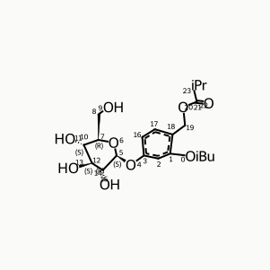 CC(C)COc1cc(O[C@@H]2O[C@H](CO)[C@@H](O)[C@H](O)[C@H]2O)ccc1COC(=O)C(C)C